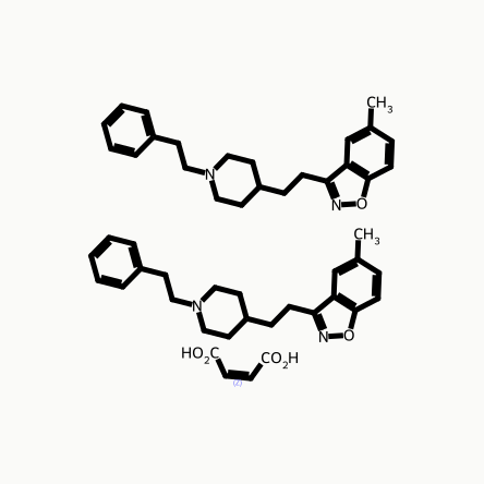 Cc1ccc2onc(CCC3CCN(CCc4ccccc4)CC3)c2c1.Cc1ccc2onc(CCC3CCN(CCc4ccccc4)CC3)c2c1.O=C(O)/C=C\C(=O)O